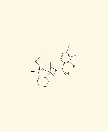 COC[C@H](C)N1CCCC[C@H]1C1(O)CN(C(O)c2ccc(F)c(F)c2F)C1C